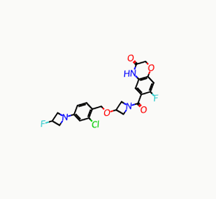 O=C1COc2cc(F)c(C(=O)N3CC(OCc4ccc(N5CC(F)C5)cc4Cl)C3)cc2N1